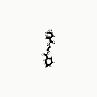 O=C(OCCOC(=O)C1CCC2OC2C1)C1CCC2CC2C1